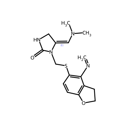 C=Nc1c(SCN2C(=O)NC/C2=C\N(C)C)ccc2c1CCO2